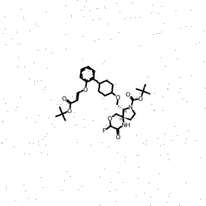 CC(C)(C)OC(=O)C=COc1ccccc1C1CCC(OC[C@@H]2N(C(=O)OC(C)(C)C)CC[C@@]23COC(F)C(=O)N3)CC1